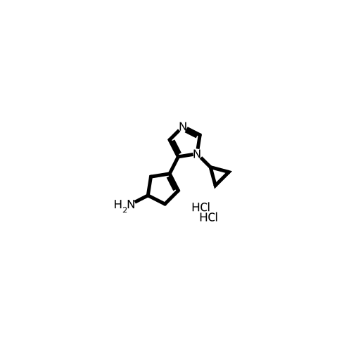 Cl.Cl.NC1CC=C(c2cncn2C2CC2)C1